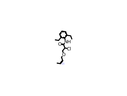 C/C=C\COCC(Cl)C(=O)Nc1c(CC)cccc1CC